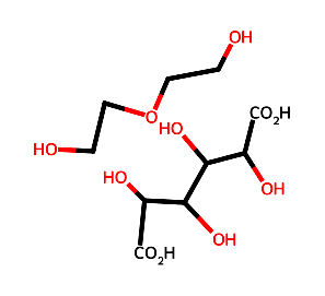 O=C(O)C(O)C(O)C(O)C(O)C(=O)O.OCCOCCO